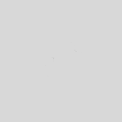 CC(C)Oc1cccc2c1O[C@@H](CNCCCCn1sc3ccccc3c1=O)CC2